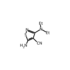 CCN(CC)c1nsc(N)c1C#N